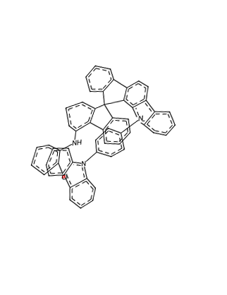 Clc1ccccc1Nc1cccc2c1-c1ccccc1C21c2ccccc2-c2ccc3c4ccccc4n(-c4ccc(-n5c6ccccc6c6ccccc65)cc4)c3c21